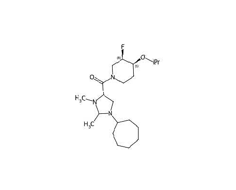 CC(C)O[C@H]1CCN(C(=O)C2CN(C3CCCCCC3)C(C)N2C)C[C@H]1F